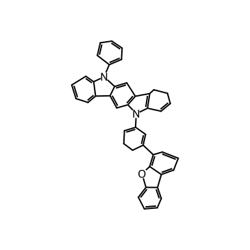 C1=Cc2c(c3cc4c(cc3n2C2=CCCC(c3cccc5c3oc3ccccc35)=C2)c2ccccc2n4-c2ccccc2)CC1